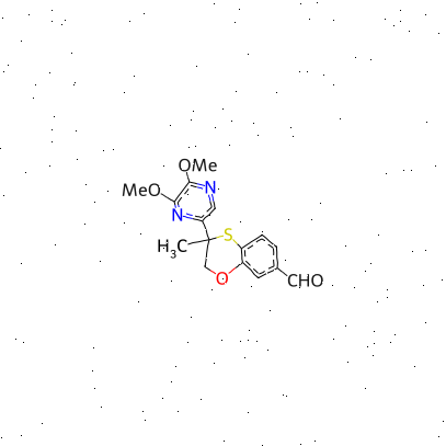 COc1ncc(C2(C)COc3cc(C=O)ccc3S2)nc1OC